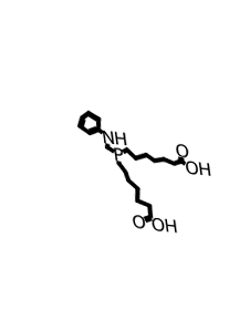 O=C(O)CCCCCCP(CCCCCCC(=O)O)CNc1ccccc1